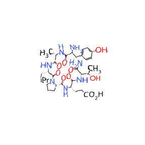 CC(C)C[C@H](NC(=O)[C@H](C)NC(=O)[C@@H](N)Cc1ccc(O)cc1)C(=O)N1CCC[C@H]1C(=O)N[C@@H](CCC(=O)O)C(=O)N[C@H](C(N)=O)[C@@H](C)O